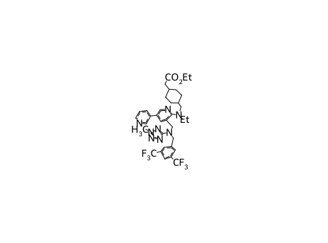 CCOC(=O)CC1CCC(CN(CC)c2ncc(-c3cccnc3)cc2CN(Cc2cc(C(F)(F)F)cc(C(F)(F)F)c2)c2nnn(C)n2)CC1